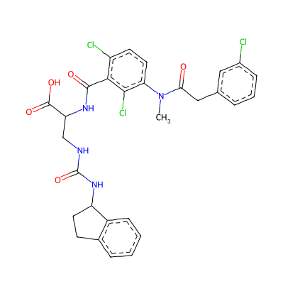 CN(C(=O)Cc1cccc(Cl)c1)c1ccc(Cl)c(C(=O)NC(CNC(=O)NC2CCc3ccccc32)C(=O)O)c1Cl